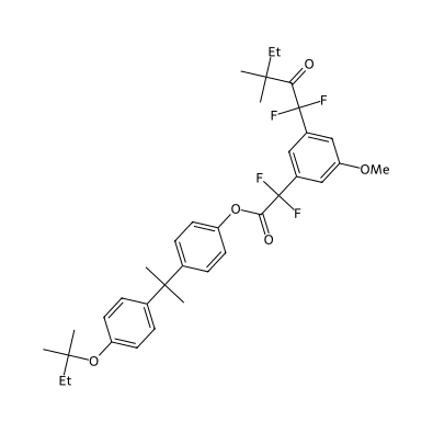 CCC(C)(C)Oc1ccc(C(C)(C)c2ccc(OC(=O)C(F)(F)c3cc(OC)cc(C(F)(F)C(=O)C(C)(C)CC)c3)cc2)cc1